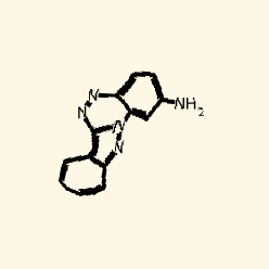 Nc1ccc2nnc3c4ccccc4nn3c2c1